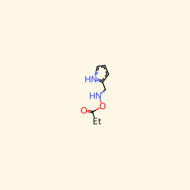 CCC(=O)ONCc1ccc[nH]1